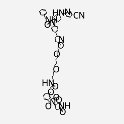 N#Cc1ccc(N[C@H]2CC[C@H](N(C(=O)NCc3ccccc3)c3ccc(-c4ccc(OCCOCCCCOCCCCNC(=O)COc5cccc6c5C(=O)N(C5CCC(=O)NC5=O)C6=O)nc4)cc3)CC2)nc1